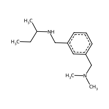 CCC(C)NCc1cccc(CN(C)C)c1